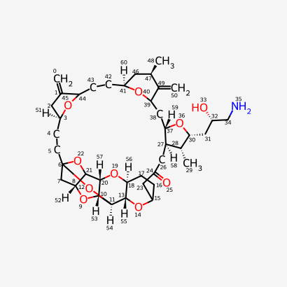 C=C1C[C@@H]2CCC34C[C@H]5O[C@H]6[C@@H](O3)[C@H]3OC(CC[C@@H]3O[C@H]6C5O4)CC(=O)C[C@@H]3[C@@H](C)[C@@H](C[C@H](O)CN)O[C@H]3CC3O[C@@H](CCC1O2)C[C@@H](C)C3=C